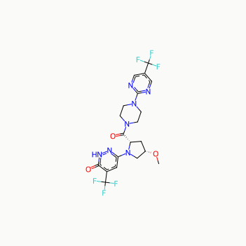 CO[C@H]1C[C@@H](C(=O)N2CCN(c3ncc(C(F)(F)F)cn3)CC2)N(c2cc(C(F)(F)F)c(=O)[nH]n2)C1